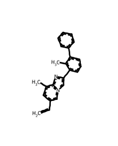 C=Cc1cc(C)c2nc(-c3cccc(-c4ccccc4)c3C)cn2c1